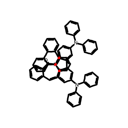 O=c1c2ccccc2ccc2cccc(-c3ccccc3-c3ccccc3-n3c4ccc(N(c5ccccc5)c5ccccc5)cc4c4cc(N(c5ccccc5)c5ccccc5)ccc43)c12